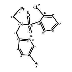 CC(C)CN(Cc1ccc(Br)cn1)S(=O)(=O)c1ccccc1Cl